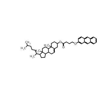 CC(C)CCCC(C)C1CCC2C3CC=C4CC(OC(=O)CCCOc5ccc6cc7ccccc7cc6c5)CCC4(C)C3CCC12C